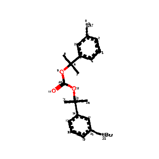 CC(C)(C)c1cccc(C(C)(C)OC(=O)OC(C)(C)c2cccc(C(C)(C)C)c2)c1